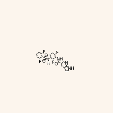 O=C(Nc1c(F)ccc(NS(=O)(=O)c2c(F)cccc2F)c1F)c1cnc2[nH]ccc2c1